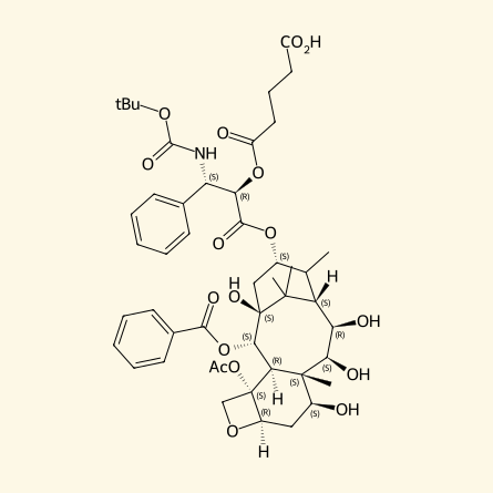 CC(=O)O[C@@]12CO[C@@H]1C[C@H](O)[C@@]1(C)[C@H](O)[C@H](O)[C@H]3C(C)[C@@H](OC(=O)[C@H](OC(=O)CCCC(=O)O)[C@@H](NC(=O)OC(C)(C)C)c4ccccc4)C[C@@](O)([C@@H](OC(=O)c4ccccc4)[C@H]21)C3(C)C